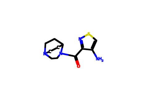 Nc1csnc1C(=O)N1CCN2CCC1CC2